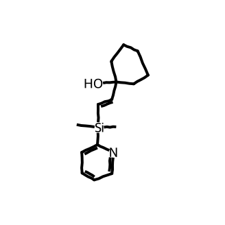 C[Si](C)(/C=C/C1(O)CCCCC1)c1ccccn1